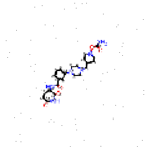 NC(=O)ON1CCC(CN2CCN(c3cccc(C(=O)NC4CCC(=O)NC4=O)c3)CC2)CC1